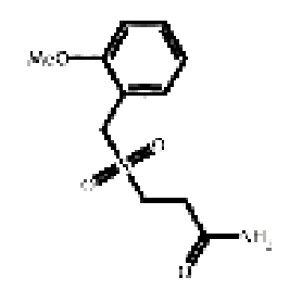 COc1ccccc1CS(=O)(=O)CCC(N)=O